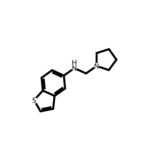 c1cc2cc(NCN3CCCC3)ccc2s1